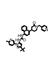 Cc1ccc(-n2nc(C(C)(C)C)cc2NC(=O)Nc2ccc(C3CCN(Cc4ccncc4)C(=O)C3)c3ccccc23)cn1